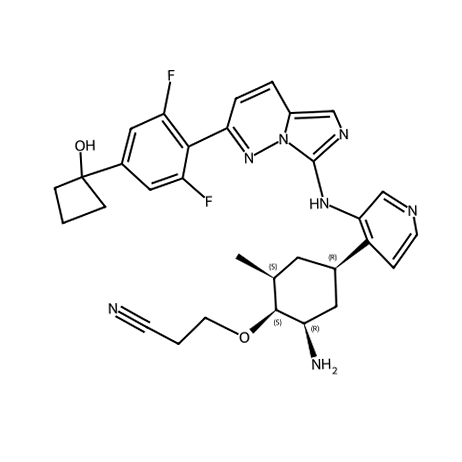 C[C@H]1C[C@@H](c2ccncc2Nc2ncc3ccc(-c4c(F)cc(C5(O)CCC5)cc4F)nn23)C[C@@H](N)[C@H]1OCCC#N